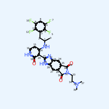 CC(Cc1c(F)c(F)cc(F)c1F)Nc1cc[nH]c(=O)c1-c1nc2cc3c(cc2[nH]1)C(=O)N(CCN(C)C)C3=O